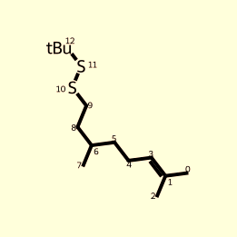 CC(C)=CCCC(C)CCSSC(C)(C)C